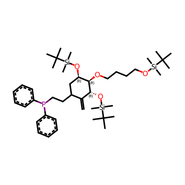 C=C1C(CCP(c2ccccc2)c2ccccc2)C[C@@H](O[Si](C)(C)C(C)(C)C)[C@@H](OCCCCO[Si](C)(C)C(C)(C)C)[C@@H]1O[Si](C)(C)C(C)(C)C